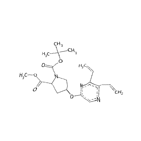 C=Cc1ncc(OC2CC(C(=O)OC)N(C(=O)OC(C)(C)C)C2)nc1C=C